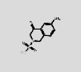 Cc1ccc2c(c1)C(=O)CN(S(C)(=O)=O)C2